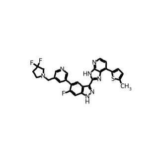 Cc1ccc(-c2ccnc3[nH]c(-c4n[nH]c5cc(F)c(-c6cncc(CN7CCC(F)(F)C7)c6)cc45)nc23)s1